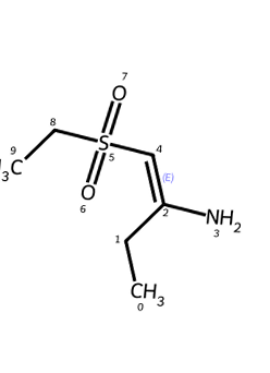 CC/C(N)=C\S(=O)(=O)CC